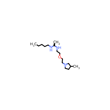 C=C(NCCCCC)NCCOCCN1CCC(C)C1